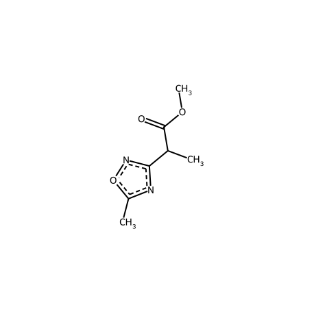 COC(=O)C(C)c1noc(C)n1